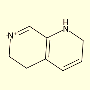 C1=CC2=C(C=[N+]CC2)NC1